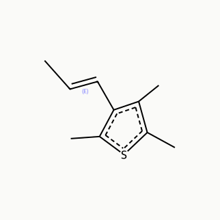 C/C=C/c1c(C)sc(C)c1C